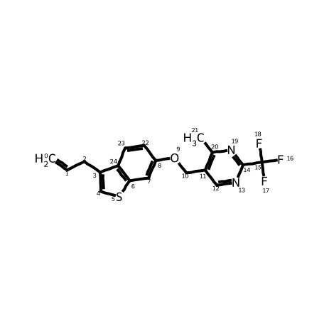 C=CCc1csc2cc(OCc3cnc(C(F)(F)F)nc3C)ccc12